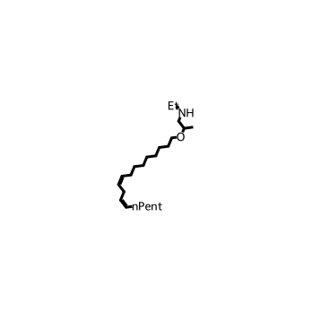 CCCCC/C=C\C/C=C\CCCCCCCCOC(C)CNCC